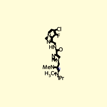 CN/C(=C\N(C)C(C)C)Cn1cc(C(=O)NCc2ncn3ccc(Cl)c(F)c23)nn1